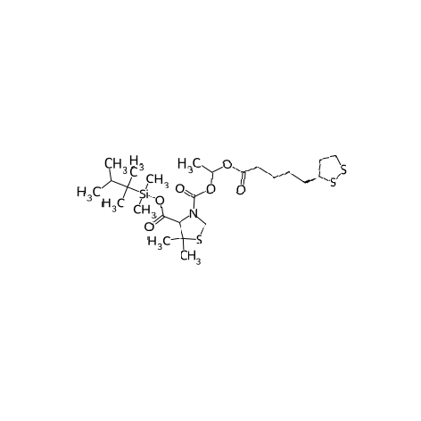 CC(OC(=O)CCCC[C@H]1CCSS1)OC(=O)N1CSC(C)(C)C1C(=O)O[Si](C)(C)C(C)(C)C(C)C